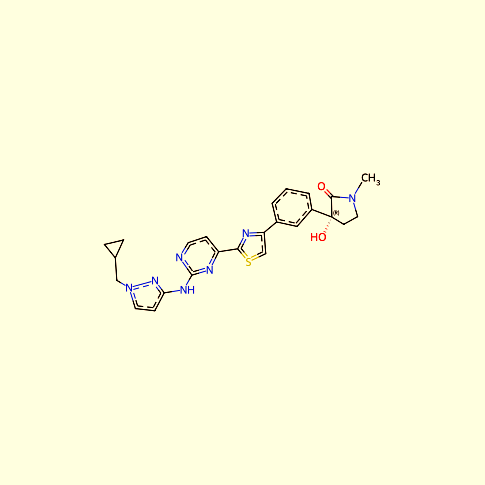 CN1CC[C@@](O)(c2cccc(-c3csc(-c4ccnc(Nc5ccn(CC6CC6)n5)n4)n3)c2)C1=O